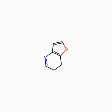 C1=Nc2ccoc2CC1